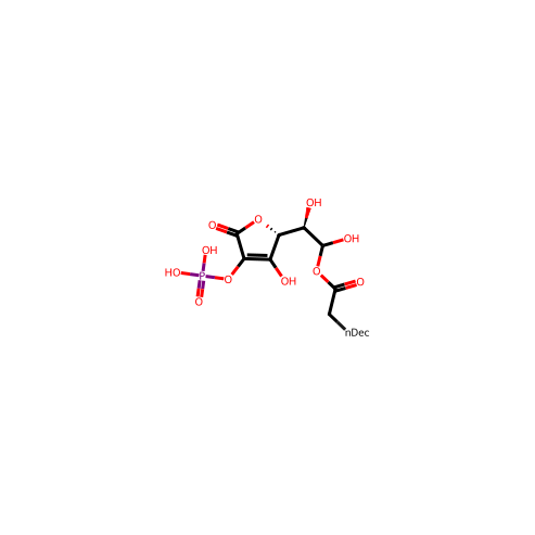 CCCCCCCCCCCC(=O)OC(O)[C@H](O)[C@H]1OC(=O)C(OP(=O)(O)O)=C1O